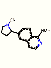 CNc1nccc2cc(C3CCCN3C#N)ccc12